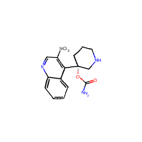 NC(=O)O[C@]1(c2c([N+](=O)[O-])cnc3ccccc23)CCCNC1